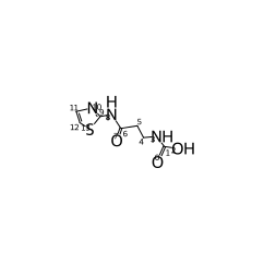 O=C(O)NCCC(=O)Nc1nccs1